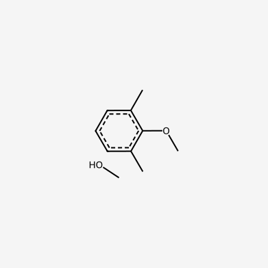 CO.COc1c(C)cccc1C